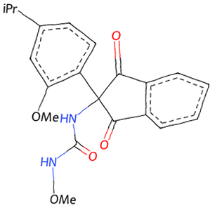 CONC(=O)NC1(c2ccc(C(C)C)cc2OC)C(=O)c2ccccc2C1=O